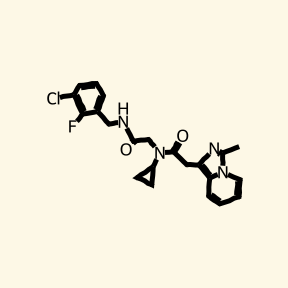 Cc1nc(CC(=O)N(CC(=O)NCc2cccc(Cl)c2F)C2CC2)c2ccccn12